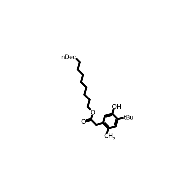 CCCCCCCCCCCCCCCCCCOC(=O)Cc1cc(O)c(C(C)(C)C)cc1C